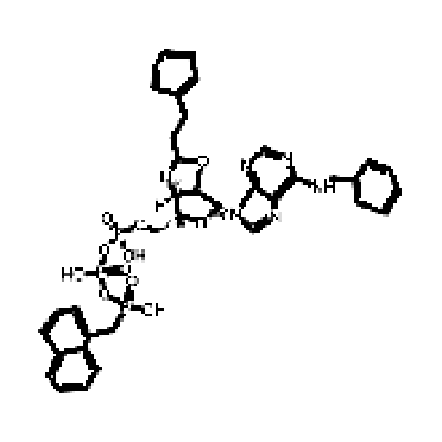 O=P(O)(Cc1cccc2ccccc12)OP(=O)(O)OP(=O)(O)OC[C@H]1O[C@@H](n2cnc3c(NCc4ccccc4)ncnc32)C2OC(CCc3ccccc3)O[C@H]21